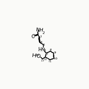 NC(=O)C=CCNC1CCCCC1CO